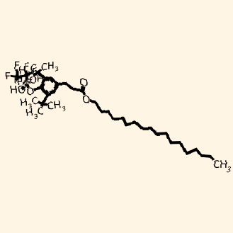 CCCCCCCCCCCCCCCCCCOC(=O)CCc1cc(C(C)(C)C)c(OP(O)(O)(F)C(F)(F)C(F)(F)F)c(C(C)(C)C)c1